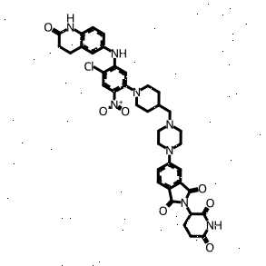 O=C1CCC(N2C(=O)c3ccc(N4CCN(CC5CCN(c6cc(Nc7ccc8c(c7)CCC(=O)N8)c(Cl)cc6[N+](=O)[O-])CC5)CC4)cc3C2=O)C(=O)N1